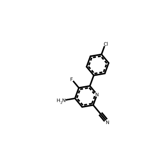 N#Cc1cc(N)c(F)c(-c2ccc(Cl)cc2)n1